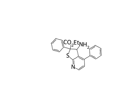 CCOC(=O)C1(c2ccccc2)Sc2nccc(-c3ccccc3)c2C1N